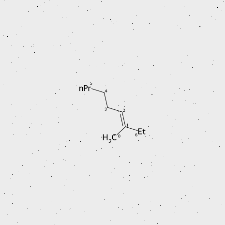 [CH2]C(=CCCCCC)CC